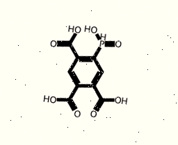 O=C(O)c1cc(C(=O)O)c([PH](=O)O)cc1C(=O)O